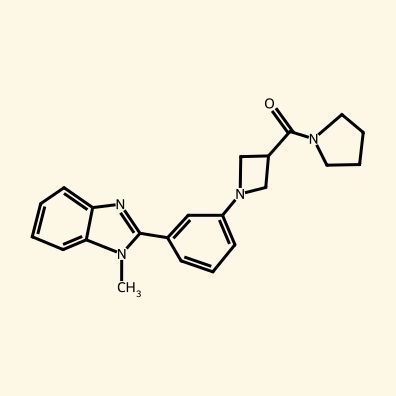 Cn1c(-c2cccc(N3CC(C(=O)N4CCCC4)C3)c2)nc2ccccc21